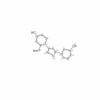 COc1cc(C#N)ccc1-c1cc(-c2cccc(C#N)c2)on1